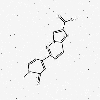 Cn1ccc(-c2ccc3nc(C(=O)O)cn3n2)cc1=O